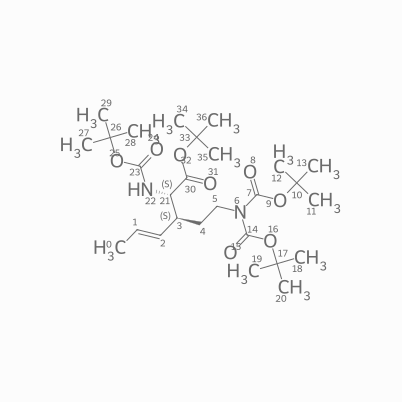 CC=C[C@H](CCN(C(=O)OC(C)(C)C)C(=O)OC(C)(C)C)[C@H](NC(=O)OC(C)(C)C)C(=O)OC(C)(C)C